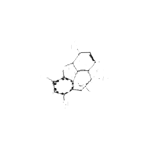 CN1CC[C@]23c4c5c(N)cc(O)c4O[C@H]2[C@@H](O)C=C[C@H]3[C@H]1C5